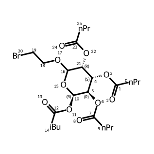 CCCC(=O)O[C@@H]1[C@@H](OC(=O)CCC)[C@@H](OC(=O)C(C)CC)OC(OCCBr)[C@@H]1OC(=O)CCC